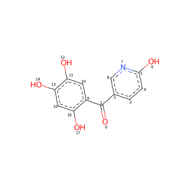 O=C(c1ccc(O)nc1)c1cc(O)c(O)cc1O